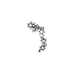 O=C(N[C@H]1CC[C@H](CCN2CCC(Oc3ccc(F)cc3)CC2)CC1)Oc1cc2ccccc2[nH]1